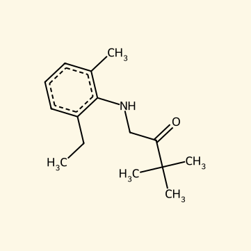 CCc1cccc(C)c1NCC(=O)C(C)(C)C